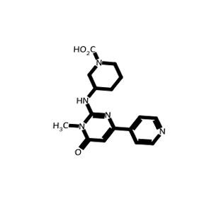 Cn1c(NC2CCCN(C(=O)O)C2)nc(-c2ccncc2)cc1=O